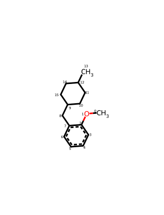 COc1ccccc1CC1CCC(C)CC1